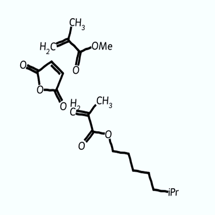 C=C(C)C(=O)OC.C=C(C)C(=O)OCCCCCC(C)C.O=C1C=CC(=O)O1